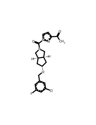 CC(=O)c1ccn(C(=O)N2C[C@H]3C[C@H](OCc4cc(F)cc(Cl)c4)C[C@H]3C2)n1